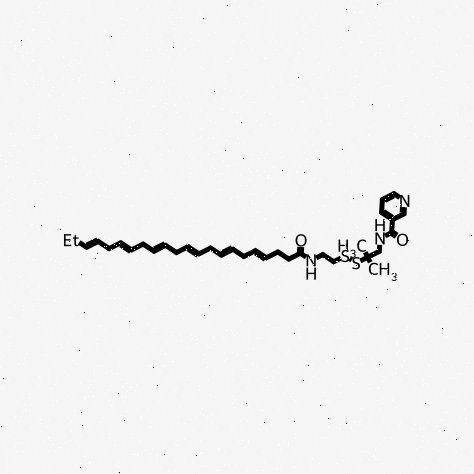 CCC=CCC=CCC=CCC=CCC=CCC=CCCC(=O)NCCSSC(C)(C)CNC(=O)c1cccnc1